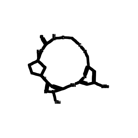 CSc1cc2nc(c1)Nc1cc(nn1C(C)(C)C)[C@H]1CC[C@H](C1)OC(=O)NCCCOC2